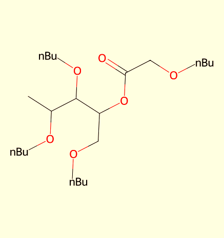 CCCCOCC(=O)OC(COCCCC)C(OCCCC)C(C)OCCCC